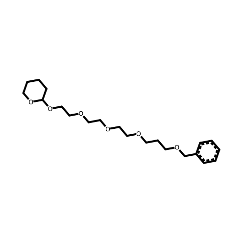 c1ccc(COCCCOCCOCCOCCOC2CCCCO2)cc1